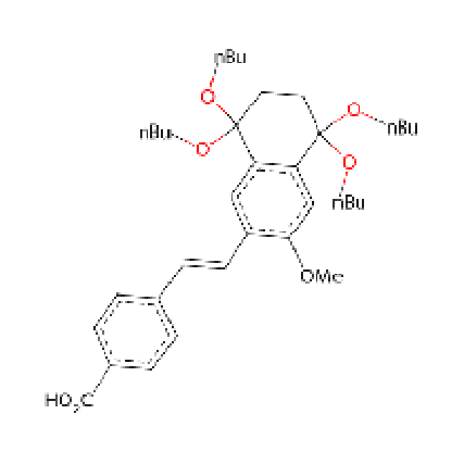 CCCCOC1(OCCCC)CCC(OCCCC)(OCCCC)c2cc(OC)c(C=Cc3ccc(C(=O)O)cc3)cc21